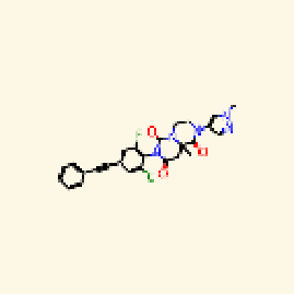 Cn1cc(N2CCN3C(=O)N(c4c(F)cc(C#Cc5ccccc5)cc4Cl)C(=O)CC3(C)C2=O)cn1